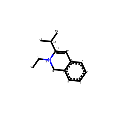 CCN1Cc2ccccc2C=C1C(C)C